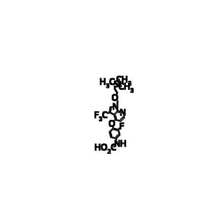 C[Si](C)(C)CCOCn1cc(C(F)(F)F)c2c(Oc3ccc(NC(=O)O)cc3F)ccnc21